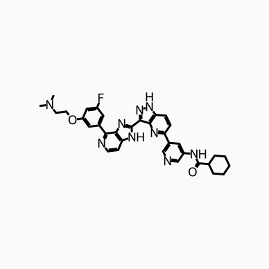 CN(C)CCOc1cc(F)cc(-c2nccc3[nH]c(-c4n[nH]c5ccc(-c6cncc(NC(=O)C7CCCCC7)c6)nc45)nc23)c1